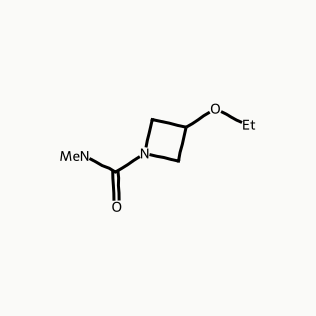 CCOC1CN(C(=O)NC)C1